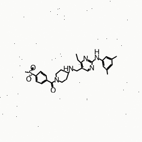 CCc1nc(Nc2cc(C)cc(C)c2)ncc1CNC1CCN(C(=O)c2ccc(S(C)(=O)=O)cc2)CC1